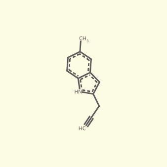 C#CCc1cc2cc(C)ccc2[nH]1